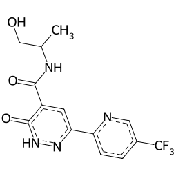 CC(CO)NC(=O)c1cc(-c2ccc(C(F)(F)F)cn2)n[nH]c1=O